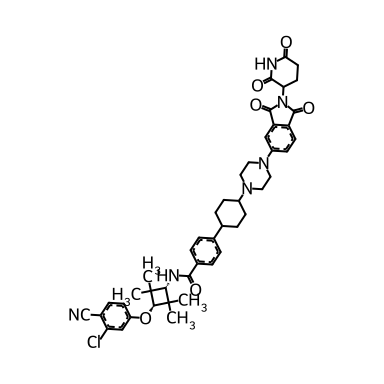 CC1(C)[C@H](NC(=O)c2ccc(C3CCC(N4CCN(c5ccc6c(c5)C(=O)N(C5CCC(=O)NC5=O)C6=O)CC4)CC3)cc2)C(C)(C)[C@H]1Oc1ccc(C#N)c(Cl)c1